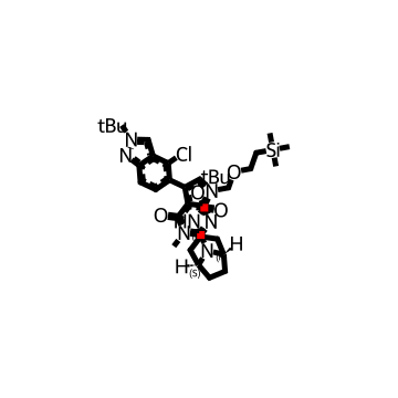 Cn1c(N2[C@@H]3CC[C@H]2C[C@@H](NC(=O)OC(C)(C)C)C3)nc2c(c(-c3ccc4nn(C(C)(C)C)cc4c3Cl)cn2COCC[Si](C)(C)C)c1=O